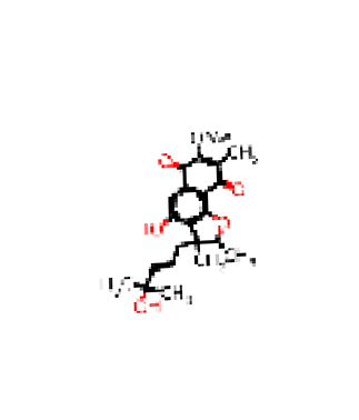 COC1=C(C)C(=O)c2c(cc(O)c3c2OC(C)C3(C)C/C=C/C(C)(C)O)C1=O